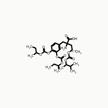 CCC(C)OC(=O)Oc1ccc(CC(N)(C[C@H](C)OC(=O)OC(C)C(C)C)C(=O)O)cc1OC(=O)OC(C)CC